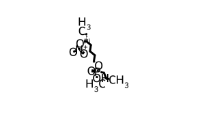 CC[C@H](CCCCOP(=O)(O)CC(C)C)O[N+](=O)[O-]